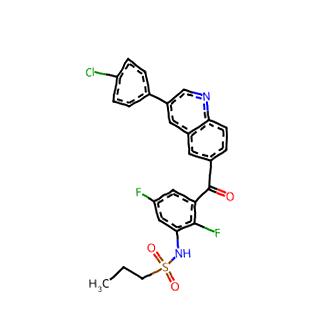 CCCS(=O)(=O)Nc1cc(F)cc(C(=O)c2ccc3ncc(-c4ccc(Cl)cc4)cc3c2)c1F